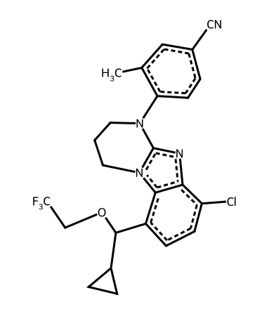 Cc1cc(C#N)ccc1N1CCCn2c1nc1c(Cl)ccc(C(OCC(F)(F)F)C3CC3)c12